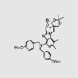 CCOCc1nc2c(N(Cc3ccc(OC)cc3)Cc3ccc(OC)cc3)nc(C)c(C)c2n1CC1(C)COC(C)(C)OC1